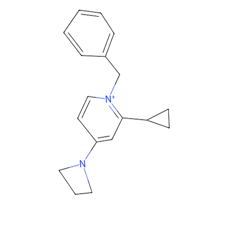 c1ccc(C[n+]2ccc(N3CCC3)cc2C2CC2)cc1